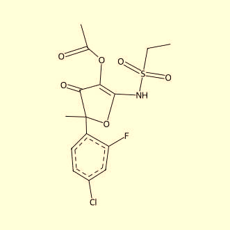 CCS(=O)(=O)NC1=C(OC(C)=O)C(=O)C(C)(c2ccc(Cl)cc2F)O1